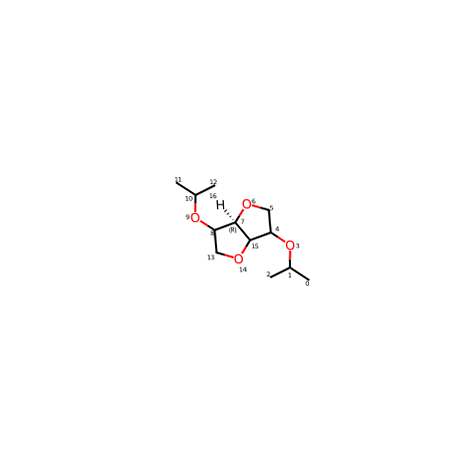 CC(C)OC1CO[C@@H]2C(OC(C)C)COC12